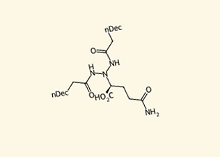 CCCCCCCCCCCC(=O)NN(NC(=O)CCCCCCCCCCC)[C@@H](CCC(N)=O)C(=O)O